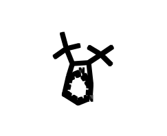 CC(C)(C)C1c2ccnc(n2)C1C(C)(C)C